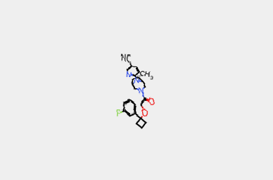 C[C@H]1CC2CN(C(=O)COC3(c4cccc(F)c4)CCC3)CC1N2c1ccc(C#N)cn1